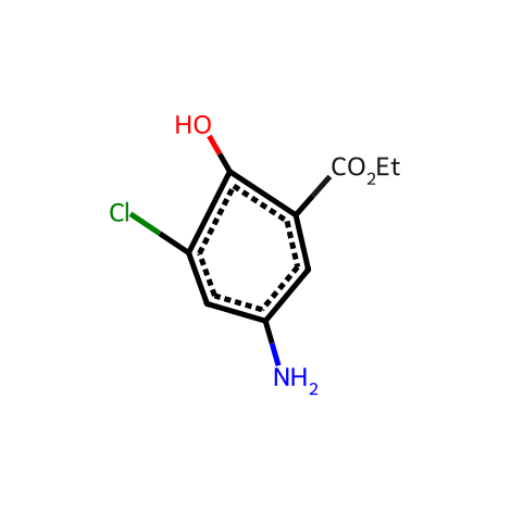 CCOC(=O)c1cc(N)cc(Cl)c1O